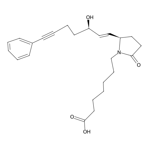 O=C(O)CCCCCCN1C(=O)CC[C@@H]1C=C[C@H](O)CCC#Cc1ccccc1